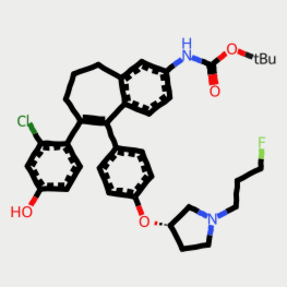 CC(C)(C)OC(=O)Nc1ccc2c(c1)CCCC(c1ccc(O)cc1Cl)=C2c1ccc(O[C@H]2CCN(CCCF)C2)cc1